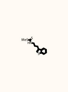 CSC(=S)NCCCc1csc2ccccc12